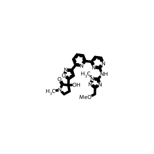 COCc1nc(Nc2nccc(-c3cccc(-c4cc(C5(O)CCN(C)C5=O)on4)n3)n2)n(C)n1